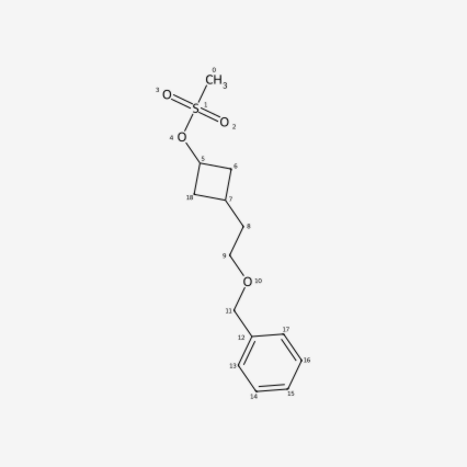 CS(=O)(=O)OC1CC(CCOCc2ccccc2)C1